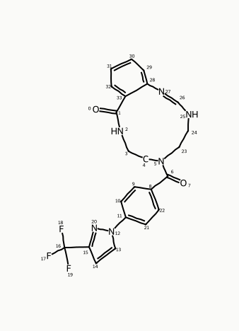 O=C1NCCN(C(=O)c2ccc(-n3ccc(C(F)(F)F)n3)cc2)CCN/C=N/c2ccccc21